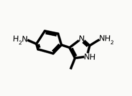 Cc1[nH]c(N)nc1-c1ccc(N)cc1